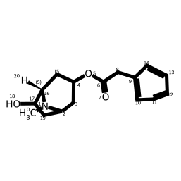 CN1C2CC(OC(=O)Cc3ccccc3)C[C@H]1C(O)C2